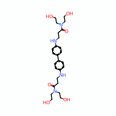 O=C(CCNc1ccc(-c2ccc(NCCC(=O)N(CCO)CCO)cc2)cc1)N(CCO)CCO